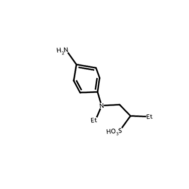 CCC(CN(CC)c1ccc(N)cc1)S(=O)(=O)O